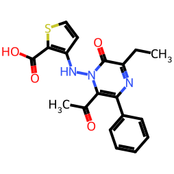 CCc1nc(-c2ccccc2)c(C(C)=O)n(Nc2ccsc2C(=O)O)c1=O